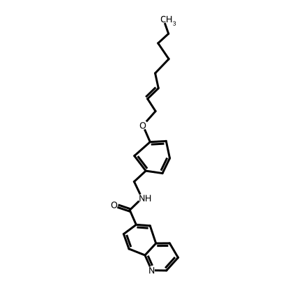 CCCCCC=CCOc1cccc(CNC(=O)c2ccc3ncccc3c2)c1